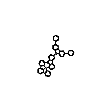 c1ccc(-c2ccc3c(c2)c2cc(-c4ccccc4)ccc2n3-c2ccc3c(c2)c2cccc4c2n3-c2ccccc2[Si]4(c2ccccc2)c2ccccc2)cc1